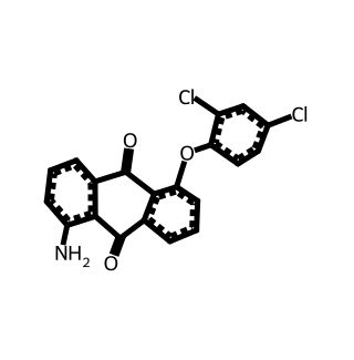 Nc1cccc2c1C(=O)c1cccc(Oc3ccc(Cl)cc3Cl)c1C2=O